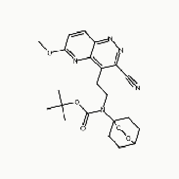 COc1ccc2nnc(C#N)c(CCN(C(=O)OC(C)(C)C)C34CCC(CC3)OC4)c2n1